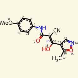 COc1ccc(NC(=O)/C(C#N)=C(\O)c2cnoc2C)cc1